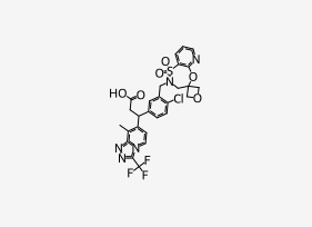 Cc1c(C(CC(=O)O)c2ccc(Cl)c(CN3CC4(COC4)Oc4ncccc4S3(=O)=O)c2)ccn2c(C(F)(F)F)nnc12